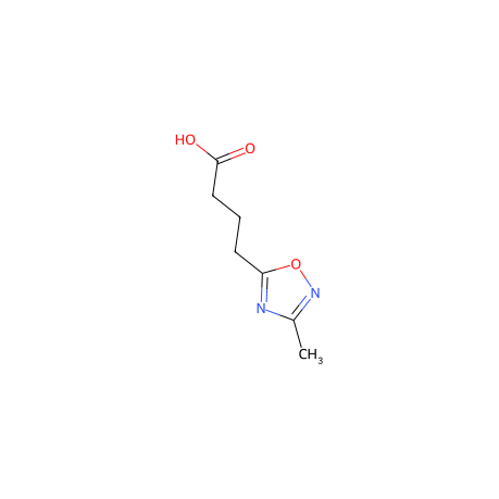 Cc1noc(CCCC(=O)O)n1